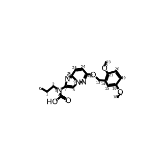 CCCN(C(=O)O)c1cn2nc(OCc3cc(OC)ccc3OC)ccc2n1